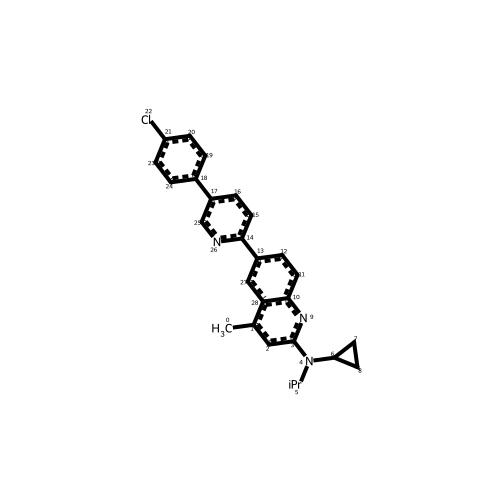 Cc1cc(N(C(C)C)C2CC2)nc2ccc(-c3ccc(-c4ccc(Cl)cc4)cn3)cc12